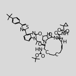 CC(C)n1c(O[C@@H]2C[C@H]3C(=O)N[C@]4(C(=O)NS(=O)(=O)C5(C)CC5)C[C@H]4/C=C\CCCCC[C@H](NC(=O)OC(C)(C)C)C(=O)N3C2)nc2c(-c3nc(-c4ccc(C(C)(C)C)cc4)cs3)cccc21